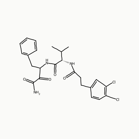 CC(C)[C@H](NC(=O)CCc1ccc(Cl)c(Cl)c1)C(=O)NC(Cc1ccccc1)C(=O)C(N)=O